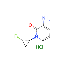 Cl.Nc1cccn([C@H]2C[C@H]2F)c1=O